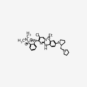 CCOc1cc(N2CCC[C@H]2CN2CCCC2)ccc1Nc1ncc(Cl)c(Nc2ccccc2S(=O)(=O)N(C)C)n1